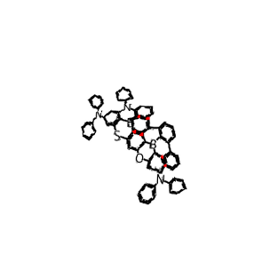 c1ccc(-c2cccc(-c3ccccc3)c2B2c3ccc(N(c4ccccc4)c4ccccc4)cc3Oc3cc4c(cc32)B2c3ccccc3N(c3ccccc3)c3cc(N(c5ccccc5)c5ccccc5)cc(c32)S4)cc1